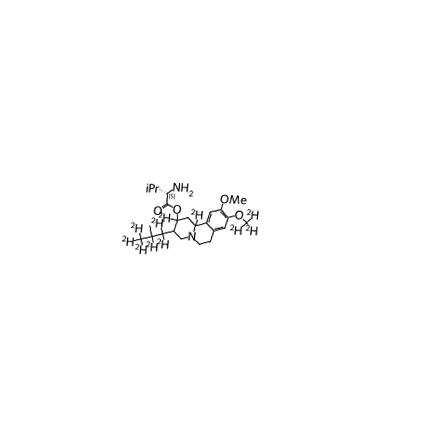 [2H]C([2H])([2H])Oc1cc2c(cc1OC)C1([2H])CC([2H])(OC(=O)[C@@H](N)C(C)C)C(C([2H])([2H])C([2H])(C)C([2H])([2H])[2H])CN1CC2